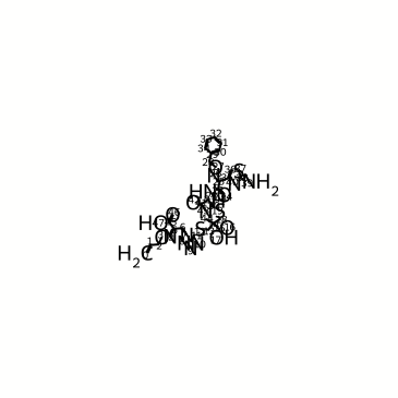 C=CCON=C(Cn1nnnc1SCC1(C(=O)O)CS[C@@H]2C(NC(=O)C(=NOCc3ccccc3)c3csc(N)n3)C(=O)N2C1)C(=O)O